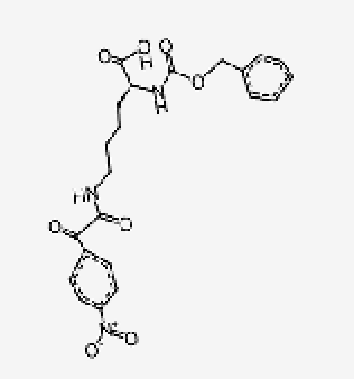 O=C(N[C@@H](CCCCNC(=O)C(=O)c1ccc([N+](=O)[O-])cc1)C(=O)O)OCc1ccccc1